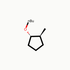 CCCCO[C@H]1CCC[C@@H]1C